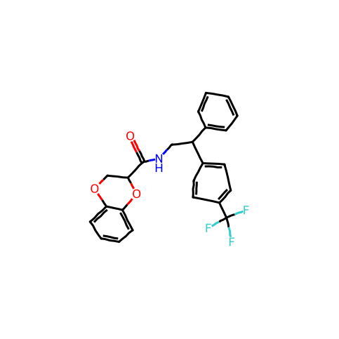 O=C(NCC(c1ccccc1)c1ccc(C(F)(F)F)cc1)C1COc2ccccc2O1